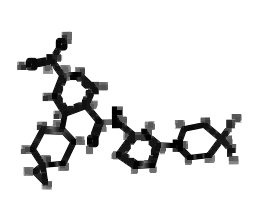 O=C(Nc1cccc(N2CCC(F)(F)CC2)n1)c1ncc([N+](=O)[O-])cc1C1=CCC2(CC1)CC2